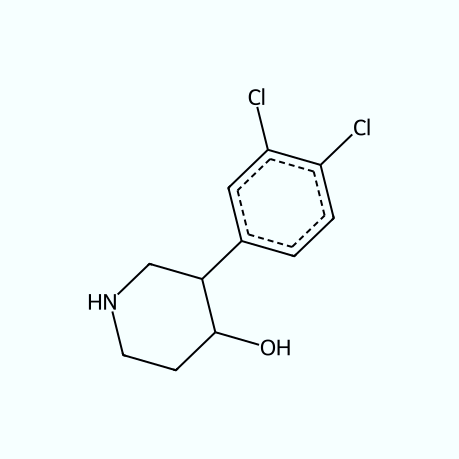 OC1CCNCC1c1ccc(Cl)c(Cl)c1